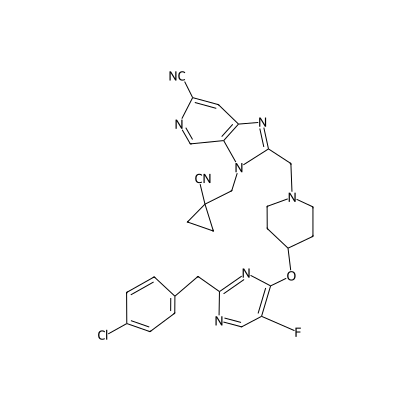 N#Cc1cc2nc(CN3CCC(Oc4nc(Cc5ccc(Cl)cc5)ncc4F)CC3)n(CC3(C#N)CC3)c2cn1